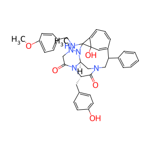 COc1ccc(CNC23C4=CC=CC(=CC42O)C(c2ccccc2)CN2C[C@H]4N(C(=O)CN(C)N43)[C@@H](Cc3ccc(O)cc3)C2=O)cc1